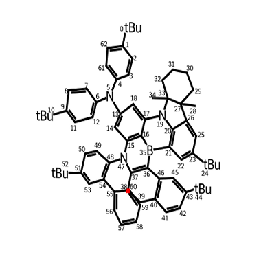 CC(C)(C)c1ccc(N(c2ccc(C(C)(C)C)cc2)c2cc3c4c(c2)N2c5c(cc(C(C)(C)C)cc5C5(C)CCCCC25C)B4C2=C(CCc4ccc(C(C)(C)C)cc42)N3c2ccc(C(C)(C)C)cc2-c2ccccc2)cc1